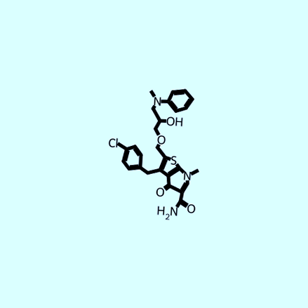 CN(CC(O)COCc1sc2c(c1Cc1ccc(Cl)cc1)c(=O)c(C(N)=O)cn2C)c1ccccc1